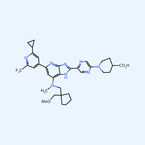 COCC1(CN(C)c2cc(-c3cc(C4CC4)nc(C(F)(F)F)c3)nc3nc(-c4cnc(N5CCC(C(=O)O)CC5)cn4)[nH]c23)CCCC1